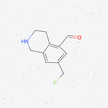 O=Cc1cc(CF)cc2c1CCNC2